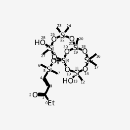 CCC(=O)C=C[Si](C)(C)O[Si]12O[Si](C)(O)O[Si](C)(C)O[Si](C)(O[Si](C)(C)O[Si](C)(O)O1)O2